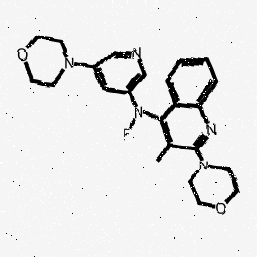 Cc1c(N2CCOCC2)nc2ccccc2c1N(F)c1cncc(N2CCOCC2)c1